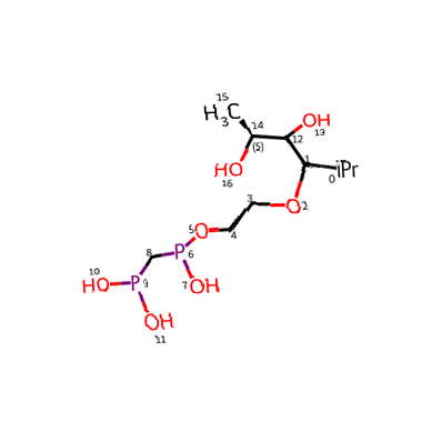 CC(C)C(OCCOP(O)CP(O)O)C(O)[C@H](C)O